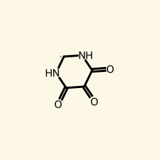 O=C1N[CH]NC(=O)C1=O